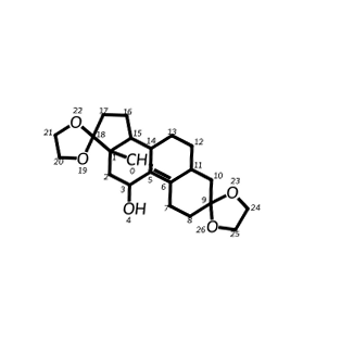 CC12CC(O)C3=C4CCC5(CC4CCC3C1CCC21OCCO1)OCCO5